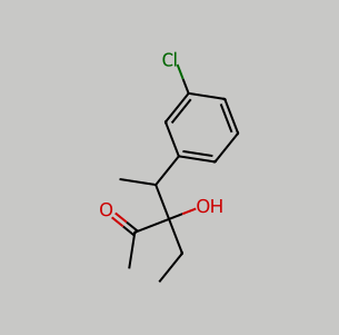 CCC(O)(C(C)=O)C(C)c1cccc(Cl)c1